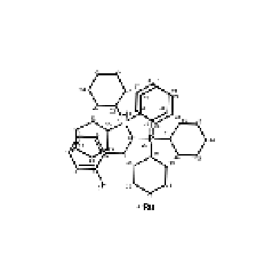 Fc1ccccc1CC([PH](C1CCCCC1)(C1CCCCC1)C1CCCCC1)[PH](C1CCCCC1)(C1CCCCC1)C1CCCCC1.[Ru]